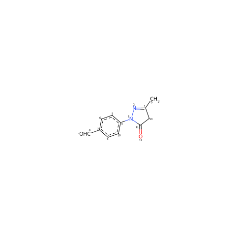 CC1=NN(c2ccc([C]=O)cc2)C(=O)C1